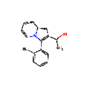 CC(O)c1cc2ccccn2c1-c1ccccc1C#N